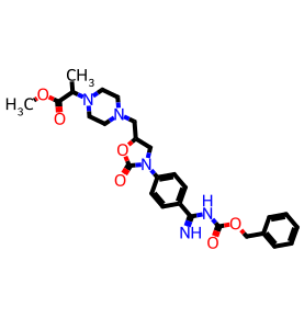 COC(=O)C(C)N1CCN(CC2CN(c3ccc(C(=N)NC(=O)OCc4ccccc4)cc3)C(=O)O2)CC1